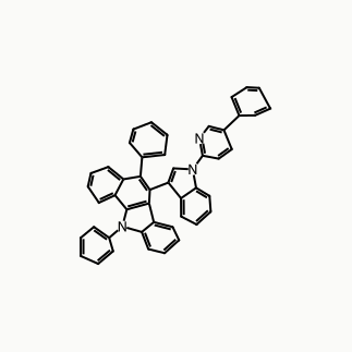 c1ccc(-c2ccc(-n3cc(-c4c(-c5ccccc5)c5ccccc5c5c4c4ccccc4n5-c4ccccc4)c4ccccc43)nc2)cc1